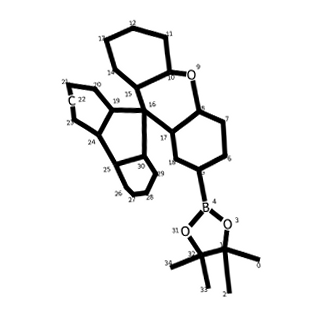 CC1(C)OB(C2CCC3OC4CCCCC4C4(C3C2)C2CCCCC2C2CCCCC24)OC1(C)C